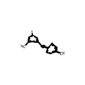 N#Cc1ccc(C#Cc2cc(F)cc(C#N)c2)cc1